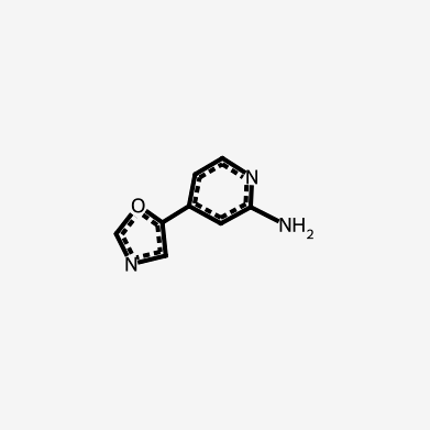 Nc1cc(-c2cnco2)ccn1